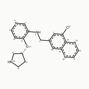 Clc1cc(CNc2cnccc2O[C@@H]2CCNC2)cc2nccnc12